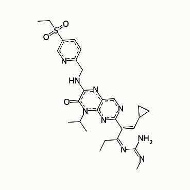 CCC(=N/C(N)=N\C)/C(=C/C1CC1)c1ncc2nc(NCc3ccc(S(=O)(=O)CC)cn3)c(=O)n(C(C)C)c2n1